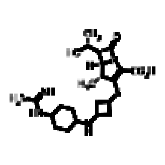 C[C@@H](O)[C@H]1C(=O)N2C(C(=O)O)=C(SC3CC(NC4CCC(NC(=N)N)CC4)C3)[C@H](C)[C@H]12